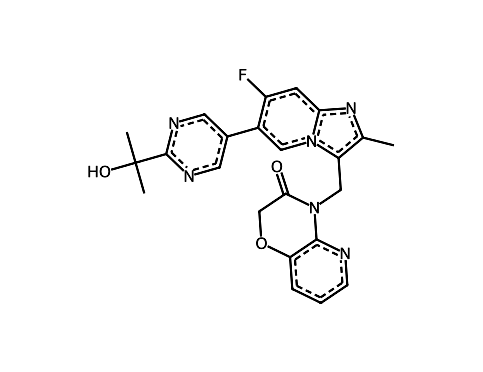 Cc1nc2cc(F)c(-c3cnc(C(C)(C)O)nc3)cn2c1CN1C(=O)COc2cccnc21